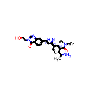 C=CC(/C=C(\CC(=C)N)C(=O)N(CCC)CCC)=C(N)\C=C\c1ccc2c(=O)n(CCO)cnc2c1